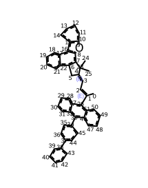 C/C(=C\C=C1/Cc2c(c3oc4ccccc4c3c3ccccc23)C1(C)C)c1c2ccccc2c(-c2ccc(-c3ccccc3)cc2)c2ccccc12